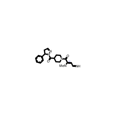 CN/C(=C\C=N)C(=O)N1CCC(C(=O)N2N=CCC2c2ccccc2)CC1